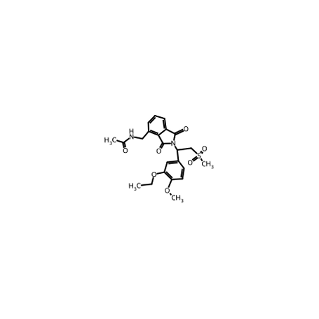 CCOc1cc(C(CS(C)(=O)=O)N2C(=O)c3cccc(CNC(C)=O)c3C2=O)ccc1OC